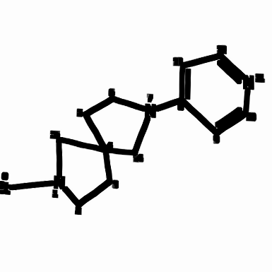 CCN1CCC2(CCN(c3ccncc3)C2)C1